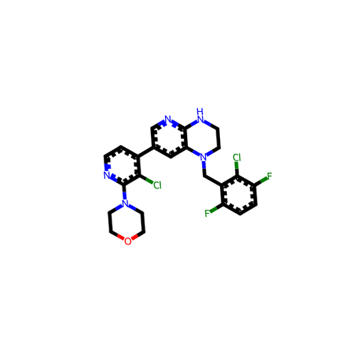 Fc1ccc(F)c(CN2CCNc3ncc(-c4ccnc(N5CCOCC5)c4Cl)cc32)c1Cl